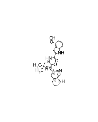 COc1cccc2[nH]c(C(=O)N[C@@H](CC(C)(C)C)C(=O)N[C@H](C#N)C[C@@H]3CCCNC3=O)cc12